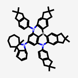 CC1(C)Cc2ccc(N3c4cc5c(cc4B4c6cc7c(cc6N(c6ccc8c(c6)CC(C)(C)C8)c6cc(N8c9ccccc9C9(C)CCCCCC89C)cc3c64)CC(C)(C)C7)CC(C)(C)C5)cc2C1